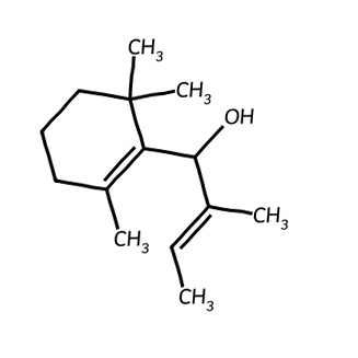 CC=C(C)C(O)C1=C(C)CCCC1(C)C